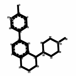 Cc1ccc(-c2ccc3c(c2)C(N2CCN(C)CC2)CCC3)cn1